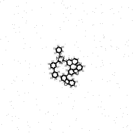 C1=CC2=CC(c3nc(-c4ccccc4)nc(-c4cccc(-c5ccccc5)c4)n3)=CC(c3cc(-c4cccc5oc6ccccc6c45)cc4oc5ccccc5c34)C2C=C1